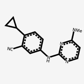 CNc1ccnc(Nc2ccc(C3CC3)c(C#N)c2)n1